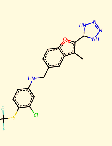 Cc1c(C2NN=NN2)oc2ccc(CNc3ccc(SC(F)(F)F)c(Cl)c3)cc12